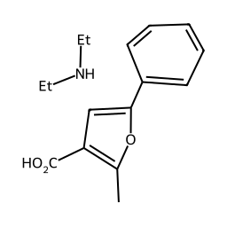 CCNCC.Cc1oc(-c2ccccc2)cc1C(=O)O